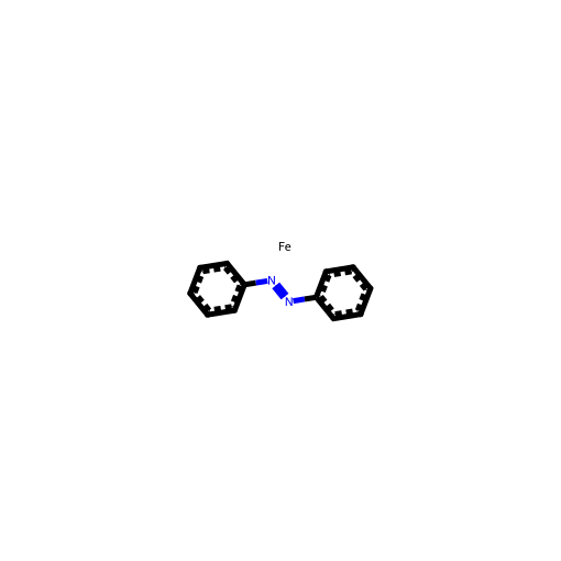 [Fe].c1ccc(N=Nc2ccccc2)cc1